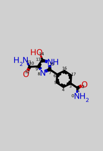 NC(=O)c1ccc(-c2nc(C(N)=O)c(O)[nH]2)cc1